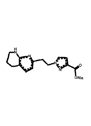 COC(=O)c1ccn(CCc2ccc3c(n2)NCCC3)n1